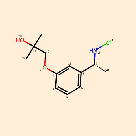 C[C@@H](NCl)c1cccc(OCC(C)(C)O)c1